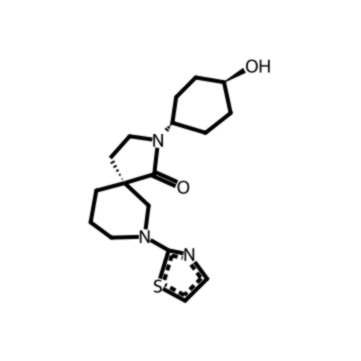 O=C1N([C@H]2CC[C@H](O)CC2)CC[C@]12CCCN(c1nccs1)C2